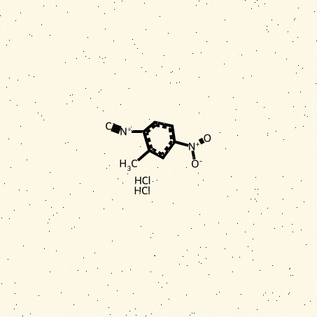 Cl.Cl.[C-]#[N+]c1ccc([N+](=O)[O-])cc1C